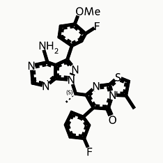 COc1ccc(-c2nn([C@@H](C)c3nc4scc(C)n4c(=O)c3-c3cccc(F)c3)c3ncnc(N)c23)cc1F